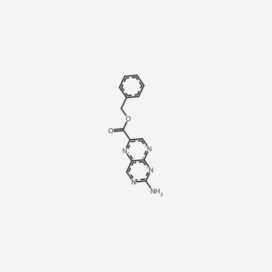 Nc1ncc2nc(C(=O)OCc3ccccc3)cnc2n1